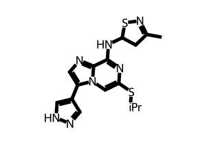 CC1=NSC(Nc2nc(SC(C)C)cn3c(-c4cn[nH]c4)cnc23)C1